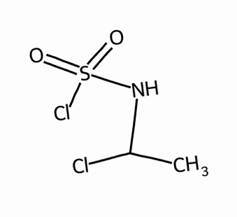 CC(Cl)NS(=O)(=O)Cl